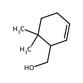 CC1(C)CCC=CC1CO